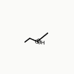 CCCCCCCC/C=C\CCCCCCCCOC(CO)COCCCCCCCCCCCCCCCC